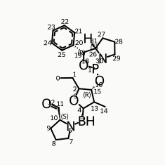 CCC1OC(BN2CCC[C@H]2C=O)C(C)[C@H]1OP1O[C@H](c2ccccc2)[C@@H]2CCCN21